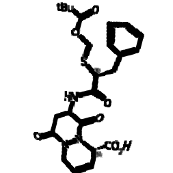 CC(C)(C)C(=O)OCS[C@@H](Cc1ccccc1)C(=O)NC1CC(=O)N2CC=C[C@@H](C(=O)O)N2C1=O